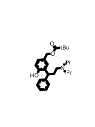 CC(C)N(CCC(c1ccccc1)c1cc(COC(=O)C(C)(C)C)ccc1O)C(C)C